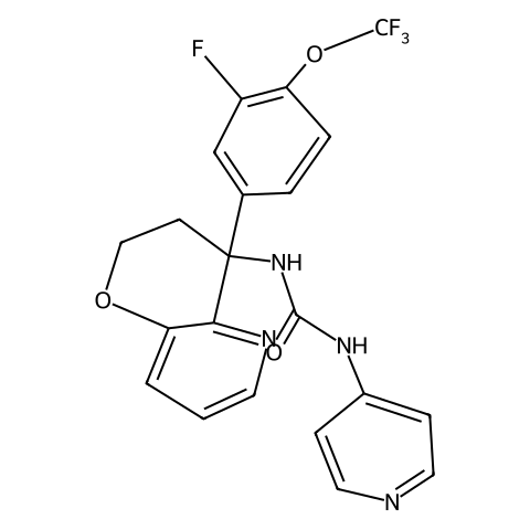 O=C(Nc1ccncc1)NC1(c2ccc(OC(F)(F)F)c(F)c2)CCOc2cccnc21